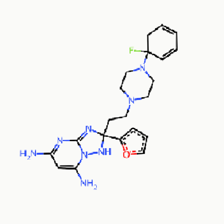 NC1=CC(N)=NC2=NC(CCN3CCN(C4(F)C=CC=CC4)CC3)(c3ccco3)NN12